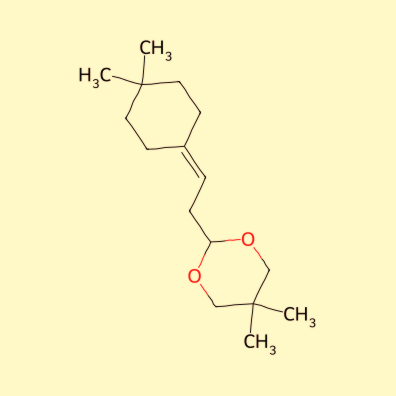 CC1(C)CCC(=CCC2OCC(C)(C)CO2)CC1